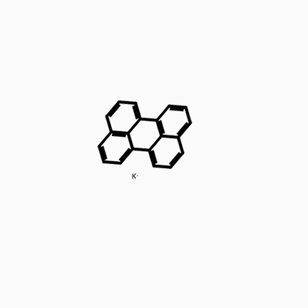 [K].c1cc2cccc3c4cccc5cccc(c(c1)c23)c54